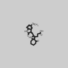 COc1ccc2c(c1)C(=Cc1[nH]c3c(c1CCC(=O)O)C(=O)CCCC3)C(=O)N2